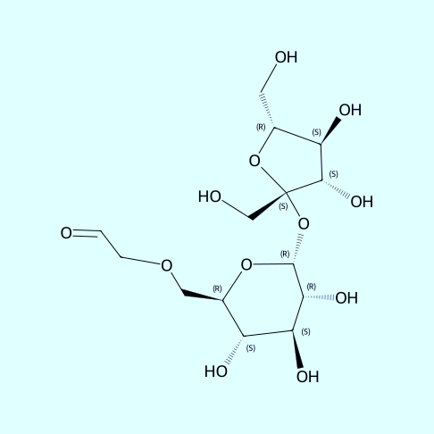 O=CCOC[C@H]1O[C@H](O[C@]2(CO)O[C@H](CO)[C@@H](O)[C@@H]2O)[C@H](O)[C@@H](O)[C@@H]1O